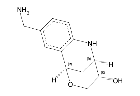 NCc1ccc2c(c1)[C@H]1C[C@@H](N2)[C@H](O)CO1